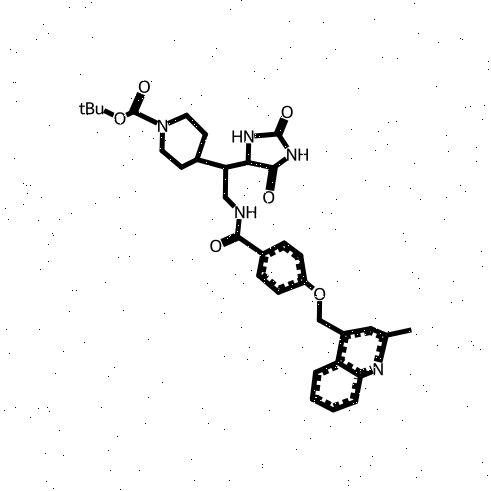 Cc1cc(COc2ccc(C(=O)NCC(C3CCN(C(=O)OC(C)(C)C)CC3)C3NC(=O)NC3=O)cc2)c2ccccc2n1